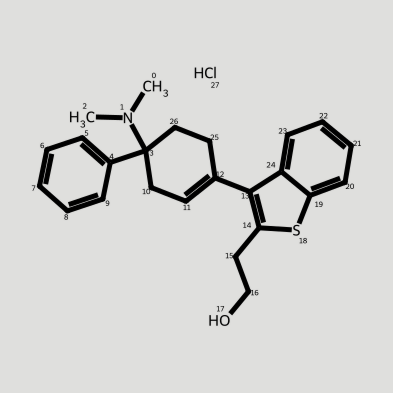 CN(C)C1(c2ccccc2)CC=C(c2c(CCO)sc3ccccc23)CC1.Cl